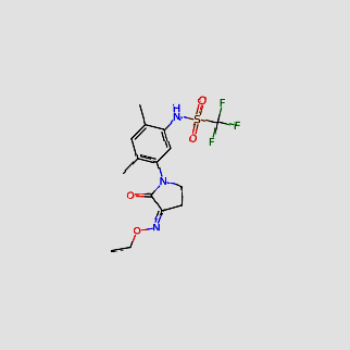 CCON=C1CCN(c2cc(NS(=O)(=O)C(F)(F)F)c(C)cc2C)C1=O